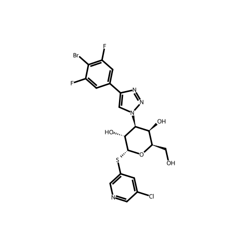 OC[C@H]1O[C@H](Sc2cncc(Cl)c2)[C@H](O)[C@@H](n2cc(-c3cc(F)c(Br)c(F)c3)nn2)[C@H]1O